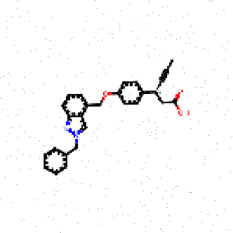 CC#C[C@@H](CC(=O)O)c1ccc(OCc2cccc3nn(Cc4ccccc4)cc23)cc1